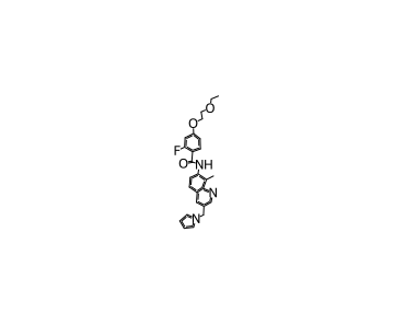 CCOCCOc1ccc(C(=O)Nc2ccc3cc(Cn4cccc4)cnc3c2C)c(F)c1